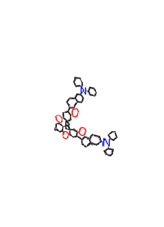 c1ccc(N(c2ccccc2)c2ccc3c(ccc4c5cc6c(cc5oc34)B3c4cc5oc7c8ccc(N(c9ccccc9)c9ccccc9)cc8ccc7c5cc4Oc4cccc(c43)O6)c2)cc1